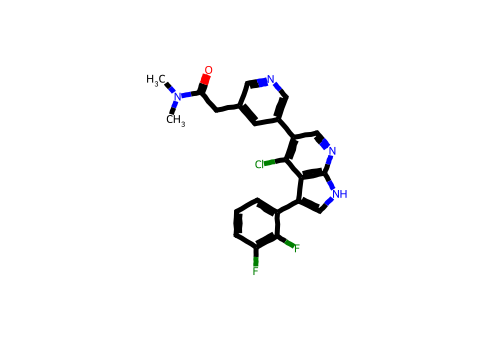 CN(C)C(=O)Cc1cncc(-c2cnc3[nH]cc(-c4cccc(F)c4F)c3c2Cl)c1